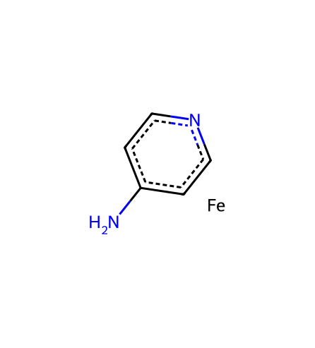 Nc1ccncc1.[Fe]